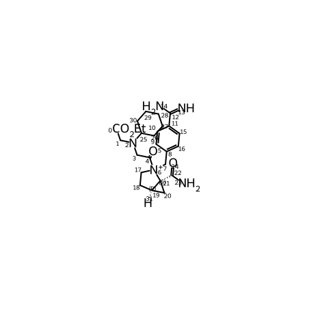 CCOC(=O)CN(CC(=O)[N+]1(Cc2ccc(C(=N)N)cc2)CC[C@@H]2C[C@@]21C(N)=O)C1CCCCC1